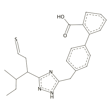 CCC(C)C(CC=S)c1n[nH]c(Cc2ccc(-c3ccccc3C(=O)O)cc2)n1